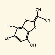 CCc1cc(O)c2c(c1O)SC(=C(C#N)C#N)S2